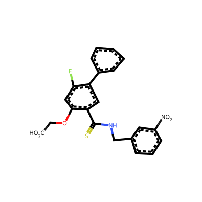 O=C(O)COc1cc(F)c(-c2ccccc2)cc1C(=S)NCc1cccc([N+](=O)[O-])c1